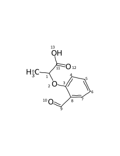 CC(Oc1ccccc1C=O)C(=O)O